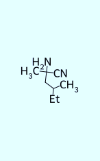 CCC(C)CC(C)(N)C#N